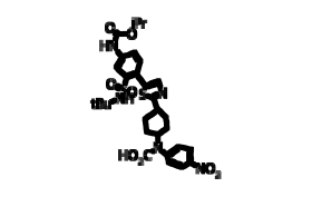 CC(C)OC(=O)Nc1ccc(-c2cnc(C3CCC(N(C(=O)O)c4ccc([N+](=O)[O-])cc4)CC3)s2)c(S(=O)(=O)NC(C)(C)C)c1